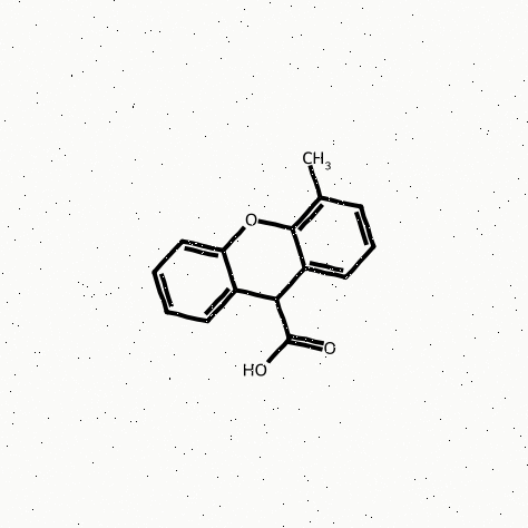 Cc1cccc2c1Oc1ccccc1C2C(=O)O